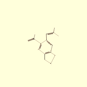 C=C(Cl)c1cc2c(cc1/C=C(\C)Cl)CCC2